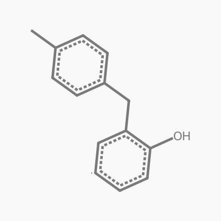 Cc1ccc(Cc2c[c]ccc2O)cc1